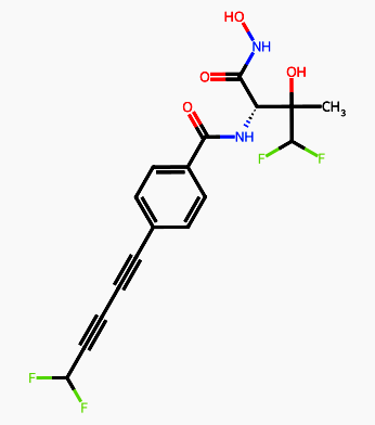 CC(O)(C(F)F)[C@H](NC(=O)c1ccc(C#CC#CC(F)F)cc1)C(=O)NO